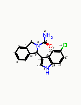 NC(=O)N1Cc2ccccc2C1c1c[nH]c2ccc(Cl)cc12